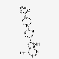 CC(C)(C)OC(=O)N1CCN(c2ccc(-c3cc4c(Cl)ncnc4[nH]3)cn2)CC1